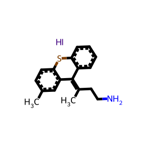 CC(CCN)=C1c2ccccc2Sc2ccc(C)cc21.I